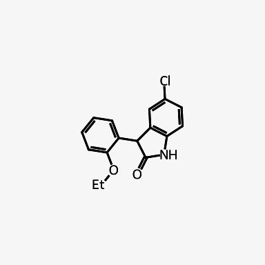 CCOc1ccccc1C1C(=O)Nc2ccc(Cl)cc21